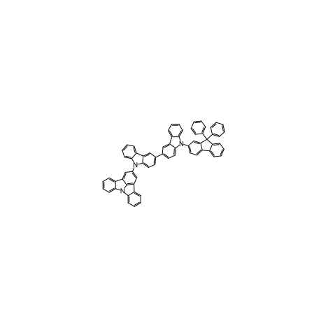 c1ccc(C2(c3ccccc3)c3ccccc3-c3ccc(-n4c5ccccc5c5cc(-c6ccc7c(c6)c6ccccc6n7-c6cc7c8ccccc8n8c9ccccc9c(c6)c78)ccc54)cc32)cc1